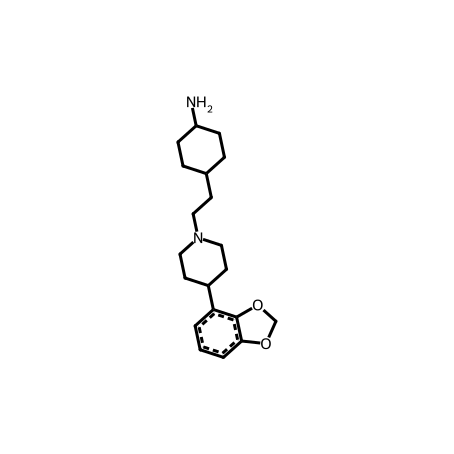 NC1CCC(CCN2CCC(c3cccc4c3OCO4)CC2)CC1